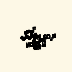 C=Cc1ccc(F)c(C2(C)CS(O)(O)N(C)C(NC(=O)O)=N2)c1